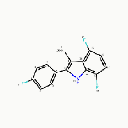 O=Cc1c(-c2ccc(F)cc2)[nH]c2c(F)ccc(F)c12